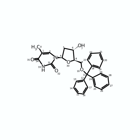 Cc1cn([C@H]2C[C@H](O)[C@@H](COC(c3ccccc3)(c3ccccc3)c3ccccc3)O2)c(=O)[nH]c1=O